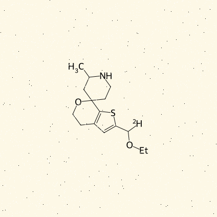 [2H]C(OCC)c1cc2c(s1)C1(CCNC(C)C1)OCC2